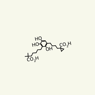 CC(C)(CCCCCc1c(O)c(O)cc(CCCCC2(C(=O)O)CC2)c1O)C(=O)O